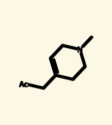 CC(=O)CC1=CCN(C)CC1